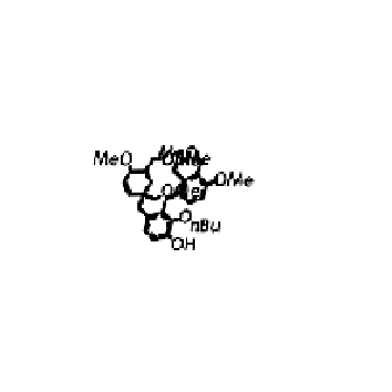 CCCCOc1c(O)ccc(CC2(COC)C=CC(OC)=C(COC)C2)c1Cc1ccc(OC)c(COC)c1COC